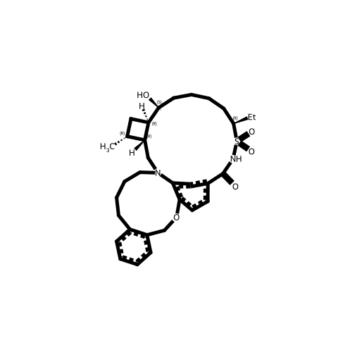 CC[C@@H]1CCCC[C@H](O)[C@@H]2C[C@@H](C)[C@H]2CN2CCCCc3ccccc3COc3ccc(cc32)C(=O)NS1(=O)=O